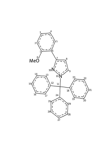 COc1ccccc1-c1ccn(C(c2ccccc2)(c2ccccc2)c2ccccc2)n1